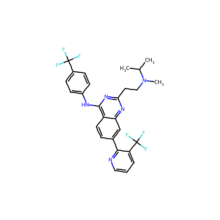 CC(C)N(C)CCc1nc(Nc2ccc(C(F)(F)F)cc2)c2ccc(-c3ncccc3C(F)(F)F)cc2n1